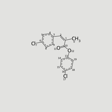 CC(=Cc1ccc(Cl)cc1)C(=O)Oc1ccc(Cl)cc1